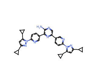 Nc1ncc(-c2ccc(-n3nc(C4CC4)cc3C3CC3)nc2)nc1-c1ccc(-n2nc(C3CC3)cc2C2CC2)nc1